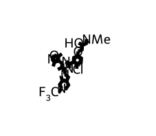 CNCC(O)COc1ccc(Cl)c(-c2nc(-c3c(C)noc3C)c(C)c(N3CC4=C(CN(CC(F)(F)F)CC4)C3)n2)c1